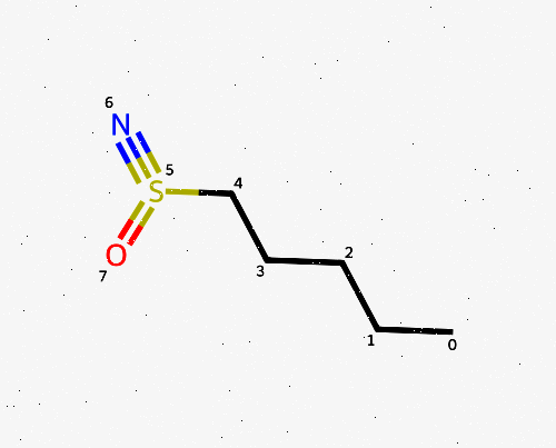 CCCCCS(#N)=O